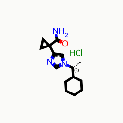 C[C@H](C1CCCCC1)n1cnc(C2(C(N)=O)CC2)c1.Cl